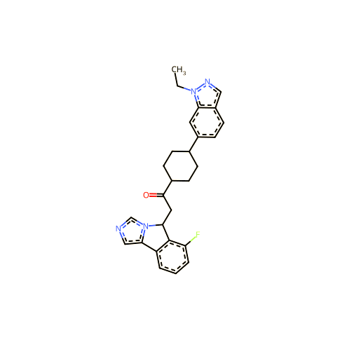 CCn1ncc2ccc(C3CCC(C(=O)CC4c5c(F)cccc5-c5cncn54)CC3)cc21